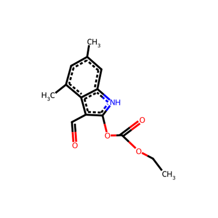 CCOC(=O)Oc1[nH]c2cc(C)cc(C)c2c1C=O